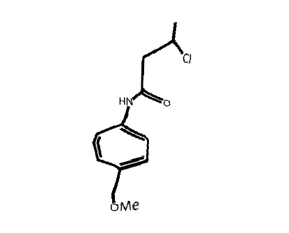 COc1ccc(NC(=O)CC(C)Cl)cc1